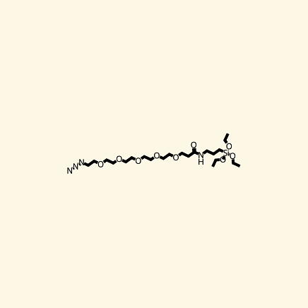 CCO[Si](CCCNC(=O)CCOCCOCCOCCOCCOCCN=[N+]=[N-])(OCC)OCC